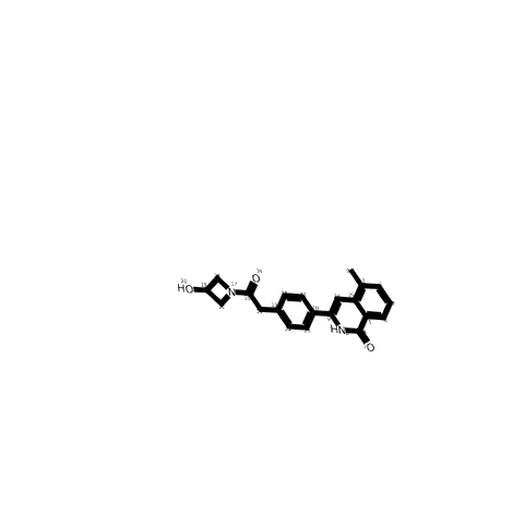 Cc1cccc2c(=O)[nH]c(-c3ccc(CC(=O)N4CC(O)C4)cc3)cc12